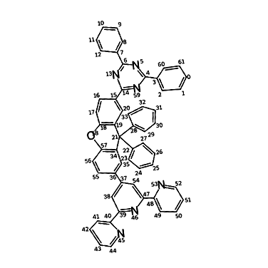 c1ccc(-c2nc(-c3ccccc3)nc(-c3ccc4c(c3)C(c3ccccc3)(c3ccccc3)c3cc(-c5cc(-c6ccccn6)nc(-c6ccccn6)c5)ccc3O4)n2)cc1